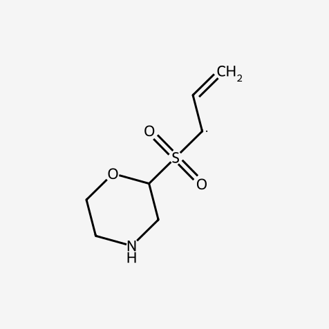 C=C[CH]S(=O)(=O)C1CNCCO1